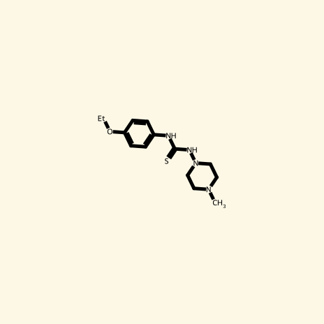 CCOc1ccc(NC(=S)NN2CCN(C)CC2)cc1